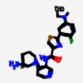 CN(CC=O)c1ccc(F)c(-c2nc(C(=O)Nc3cnccc3N3CCC[C@H](N)C3)cs2)c1